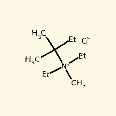 CCC(C)(C)[N+](C)(CC)CC.[Cl-]